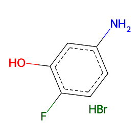 Br.Nc1ccc(F)c(O)c1